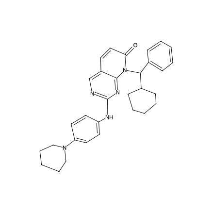 O=c1ccc2cnc(Nc3ccc(N4CCCCC4)cc3)nc2n1C(c1ccccc1)C1CCCCC1